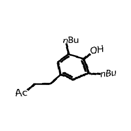 CCCCc1cc(CCC(C)=O)cc(CCCC)c1O